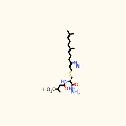 CC(C)=CCC/C(C)=C/CC/C(=C/CSC[C@H](NC(=O)CC(C)C(=O)O)C(=O)NN)N=N